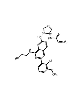 C=CC(=O)N[C@H]1COC[C@H]1Nc1cc2c(NCCO)nc(-c3cccc(OC)c3Cl)cc2cn1